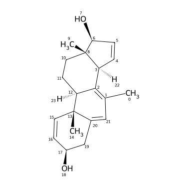 CC1=C2[C@@H]3C=C[C@H](O)[C@@]3(C)CC[C@@H]2[C@@]2(C)C=C[C@H](O)CC2=C1